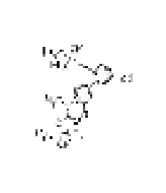 CC(C(=O)OC(C)(C)C)n1ccc(-c2cc(Cl)ccc2C#CS(C)(C)C)cc1=O